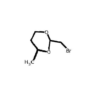 CC1CCOC(CBr)O1